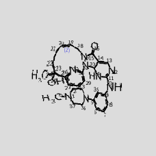 CN1CCN(c2cccc(NC3=NC=C4C(=O)N5C/C=C\CCC(C)(O)c6cccc(n6)N5C4N3)c2)CC1